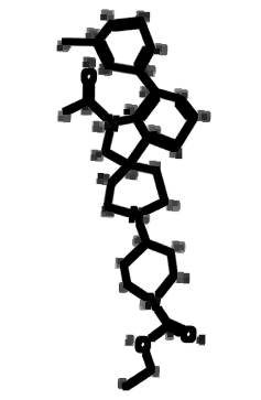 CCOC(=O)N1CCC(N2CCC3(CC2)CN(C(C)=O)c2c(-c4cccc(C)c4)cccc23)CC1